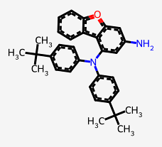 CC(C)(C)c1ccc(N(c2ccc(C(C)(C)C)cc2)c2cc(N)cc3oc4ccccc4c23)cc1